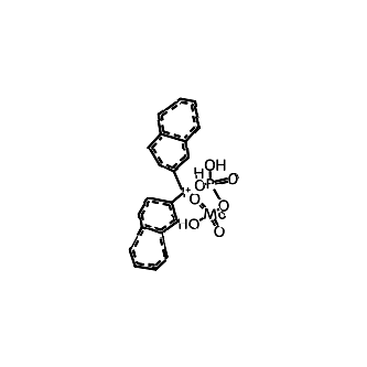 O=P(O)(O)[O][Mo](=[O])(=[O])[OH].c1ccc2cc([I+]c3ccc4ccccc4c3)ccc2c1